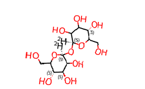 [2H][C@@]1(O[C@]2([2H])OC(CO)[C@@H](O)[C@H](O)C2O)OC(CO)[C@@H](O)C(O)C1O